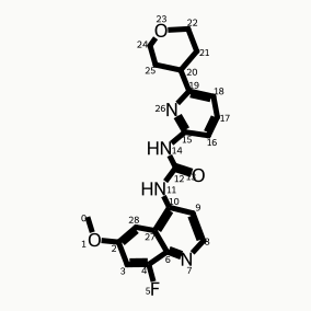 COc1cc(F)c2nccc(NC(=O)Nc3cccc(C4CCOCC4)n3)c2c1